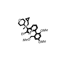 CCc1nn2c(-c3c(COC)cc(OC)cc3OC)cccc2c1[N+](C)(CC1CC1)C1CCOCC1